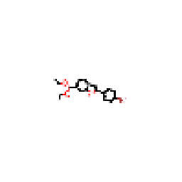 CCOC(OCC)c1ccc2cc(-c3ccc(Br)cc3)oc2c1